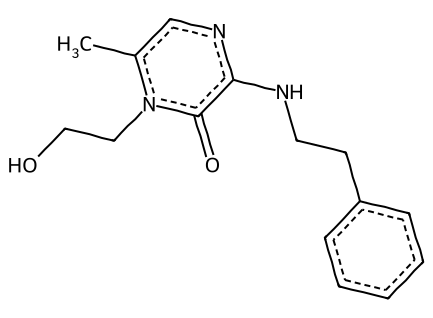 Cc1cnc(NCCc2ccccc2)c(=O)n1CCO